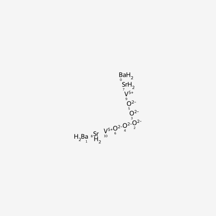 [BaH2].[BaH2].[O-2].[O-2].[O-2].[O-2].[O-2].[SrH2].[SrH2].[V+5].[V+5]